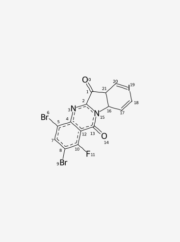 O=C1c2nc3c(Br)cc(Br)c(F)c3c(=O)n2C2C=CI=CC12